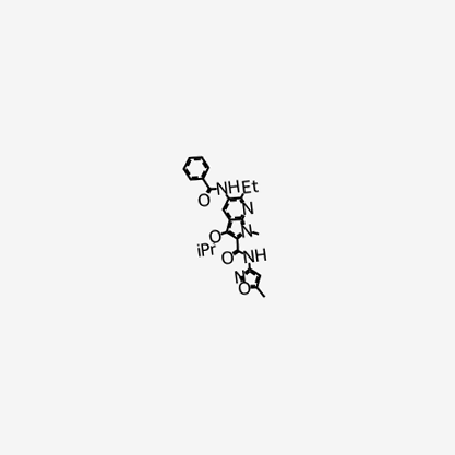 CCc1nc2c(cc1NC(=O)c1ccccc1)c(OC(C)C)c(C(=O)Nc1cc(C)on1)n2C